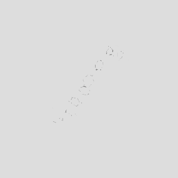 COC(=O)NC(C(=O)N1CCC[C@H]1c1ncc(-c2ccc3cc(-c4ccc(-c5cnc([C@@H]6CCCN6C(=O)OC(C)(C)C)[nH]5)cc4)ccc3c2)[nH]1)C(C)OC(F)F